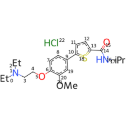 CCN(CC)CCOc1ccc(-c2ccc(C(=O)NC(C)C)s2)cc1OC.Cl